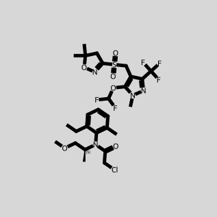 CCc1cccc(C)c1N(C(=O)CCl)[C@@H](C)COC.Cn1nc(C(F)(F)F)c(CS(=O)(=O)C2=NOC(C)(C)C2)c1OC(F)F